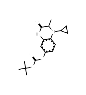 CC1C(=O)Nc2cc(OC(=O)OC(C)(C)C)ccc2N1C1CC1